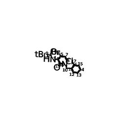 CC(C)(C)C(=O)Nc1c(Br)ccn(Cc2ccccc2Cl)c1=O